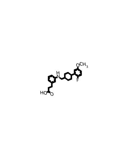 COc1ccc(F)c(C2CCC(CNc3cccc(CCC(=O)O)c3)CC2)c1